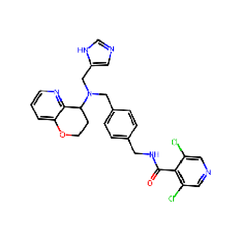 O=C(NCc1ccc(CN(Cc2cnc[nH]2)C2CCOc3cccnc32)cc1)c1c(Cl)cncc1Cl